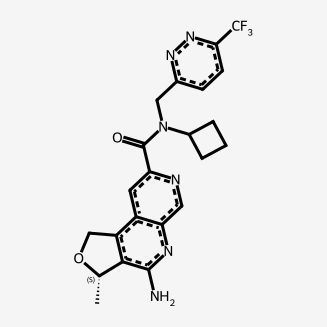 C[C@@H]1OCc2c1c(N)nc1cnc(C(=O)N(Cc3ccc(C(F)(F)F)nn3)C3CCC3)cc21